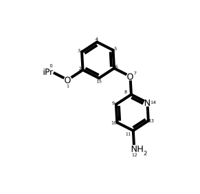 CC(C)Oc1cccc(Oc2ccc(N)cn2)c1